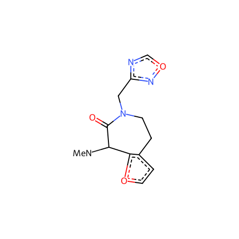 CNC1C(=O)N(Cc2ncon2)CCc2ccoc21